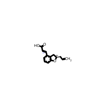 C=CC[C@@H]1Cc2c(/C=C/C(=O)O)cccc2O1